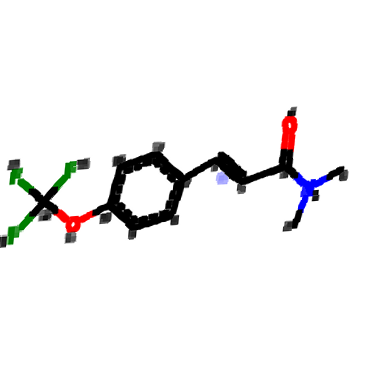 CN(C)C(=O)/C=C/c1ccc(OC(F)(F)F)cc1